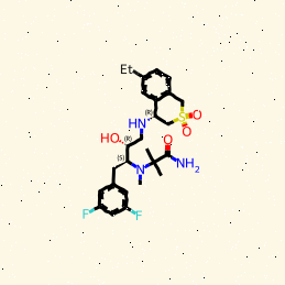 CCc1ccc2c(c1)[C@@H](NC[C@@H](O)[C@H](Cc1cc(F)cc(F)c1)N(C)C(C)(C)C(N)=O)CS(=O)(=O)C2